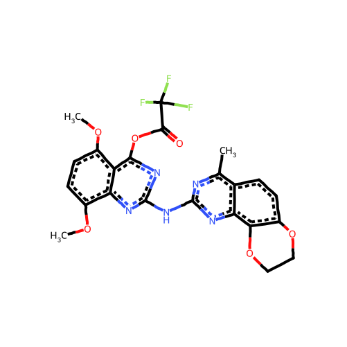 COc1ccc(OC)c2c(OC(=O)C(F)(F)F)nc(Nc3nc(C)c4ccc5c(c4n3)OCCO5)nc12